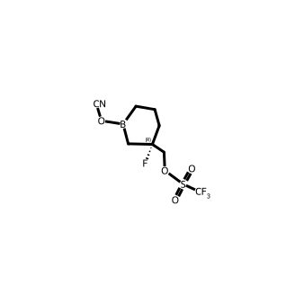 N#COB1CCC[C@@](F)(COS(=O)(=O)C(F)(F)F)C1